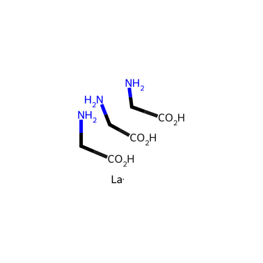 NCC(=O)O.NCC(=O)O.NCC(=O)O.[La]